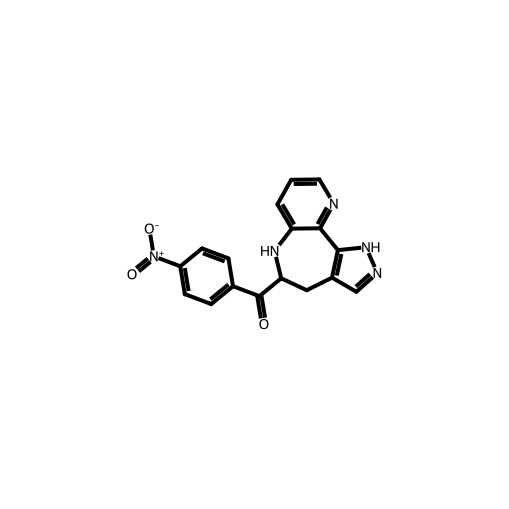 O=C(c1ccc([N+](=O)[O-])cc1)C1Cc2cn[nH]c2-c2ncccc2N1